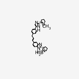 BN1CCC[C@H]1c1nc2cc(C=CCc3ccc(-c4cnc([C@@H]5CCCN5C)[nH]4)cc3)ccc2[nH]1